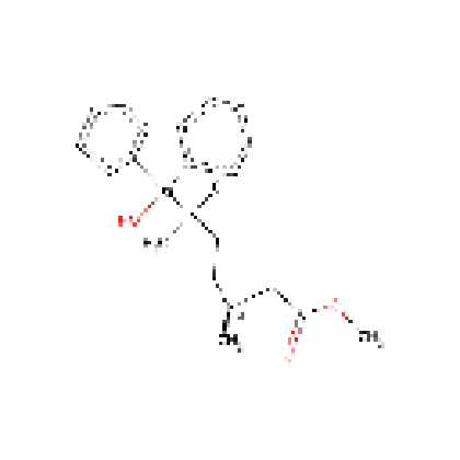 COC(=O)C[C@@H](C)CCC(C)(C)[Si](O)(c1ccccc1)c1ccccc1